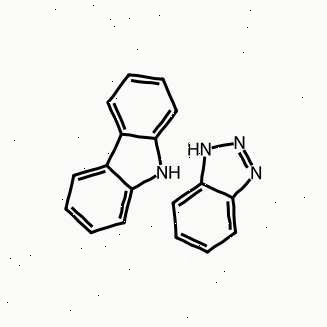 c1ccc2[nH]nnc2c1.c1ccc2c(c1)[nH]c1ccccc12